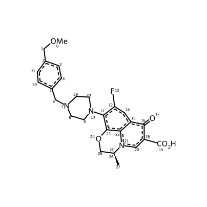 COCc1ccc(CN2CCN(c3c(F)cc4c(=O)c(C(=O)O)cn5c4c3OC[C@@H]5C)CC2)cc1